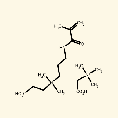 C=C(C)C(=O)NCCC[N+](C)(C)CCC(=O)O.C[N+](C)(C)CC(=O)O